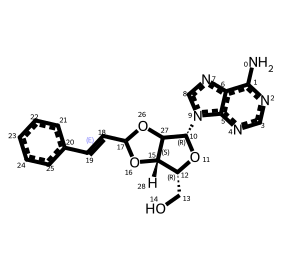 Nc1ncnc2c1ncn2[C@@H]1O[C@H](CO)[C@@H]2OC(/C=C/c3ccccc3)OC21